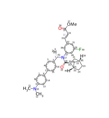 [2H][C@@H](c1ccc(-c2ccc(N(C)C)cc2)cc1)N(C(=O)[C@H]1C[C@@H]2CC[C@H]1C2)c1cc(F)cc(/C=C/C(=O)OC)c1